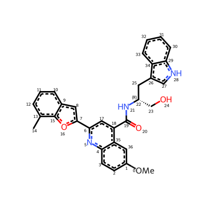 COc1ccc2nc(-c3cc4cccc(C)c4o3)cc(C(=O)N[C@@H](CO)Cc3c[nH]c4ccccc34)c2c1